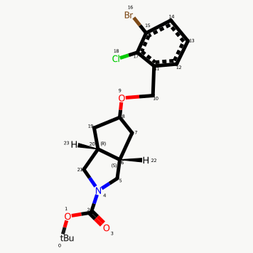 CC(C)(C)OC(=O)N1C[C@H]2CC(OCc3cccc(Br)c3Cl)C[C@H]2C1